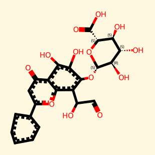 O=CC(O)c1c(O[C@@H]2O[C@H](C(=O)O)[C@@H](O)[C@H](O)[C@H]2O)c(O)c(O)c2c(=O)cc(-c3ccccc3)oc12